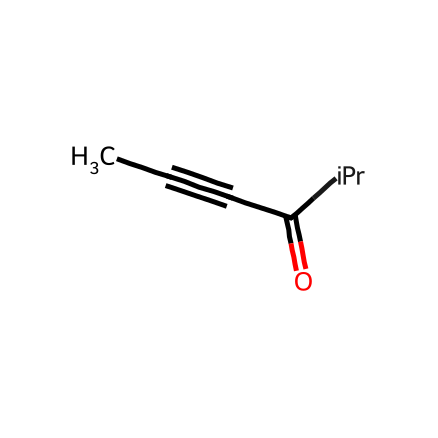 CC#CC(=O)C(C)C